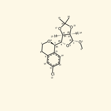 CO[C@@H]1O[C@H]([C@@H]2OCCc3cc(Cl)ccc32)[C@H]2OC(C)(C)O[C@@H]12